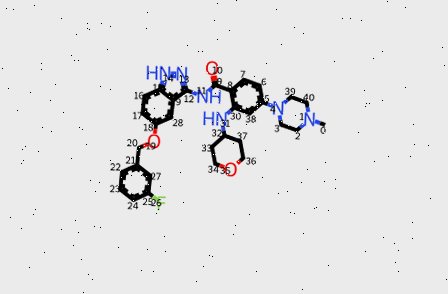 CN1CCN(c2ccc(C(=O)Nc3n[nH]c4ccc(OCc5cccc(F)c5)cc34)c(NC3CCOCC3)c2)CC1